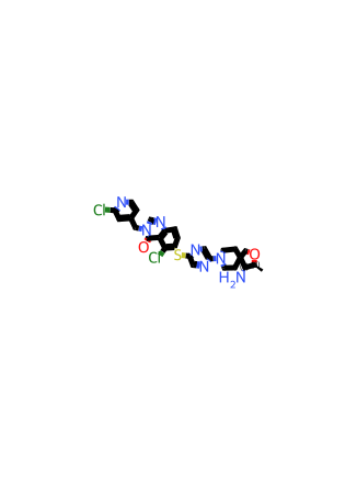 C[C@@H]1OCC2(CCN(c3cnc(Sc4ccc5ncn(Cc6ccnc(Cl)c6)c(=O)c5c4Cl)cn3)CC2)[C@@H]1N